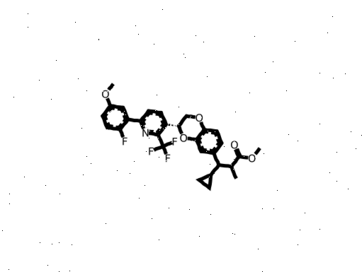 COC(=O)C(C)C(c1ccc2c(c1)O[C@H](c1ccc(-c3cc(OC)ccc3F)nc1C(F)(F)F)CO2)C1CC1